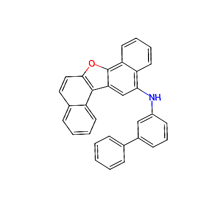 c1ccc(-c2cccc(Nc3cc4c(oc5ccc6ccccc6c54)c4ccccc34)c2)cc1